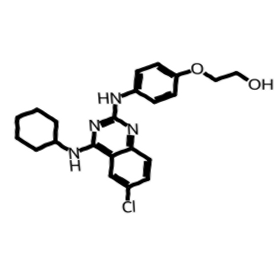 OCCOc1ccc(Nc2nc(NC3CCCCC3)c3cc(Cl)ccc3n2)cc1